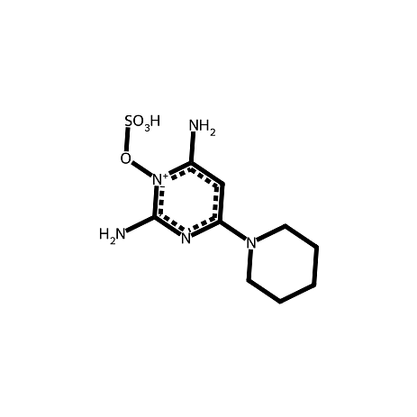 Nc1cc(N2CCCCC2)nc(N)[n+]1OS(=O)(=O)O